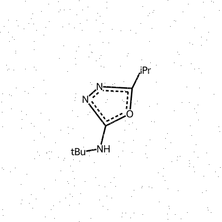 CC(C)c1nnc(NC(C)(C)C)o1